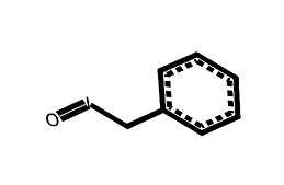 O=ICc1ccccc1